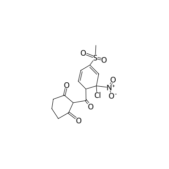 CS(=O)(=O)C1=CC(Cl)([N+](=O)[O-])C(C(=O)C2C(=O)CCCC2=O)C=C1